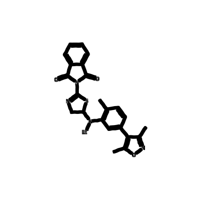 CCN(c1cc(-c2c(C)noc2C)ccc1C)C1CN=C(N2C(=O)c3ccccc3C2=O)S1